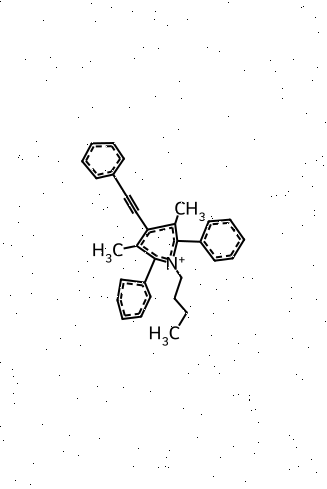 CCCC[n+]1c(-c2ccccc2)c(C)c(C#Cc2ccccc2)c(C)c1-c1ccccc1